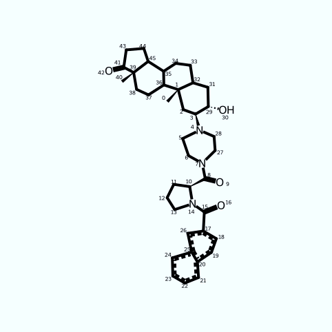 C[C@]12C[C@H](N3CCN(C(=O)[C@@H]4CCCN4C(=O)c4ccc5ccccc5c4)CC3)[C@@H](O)CC1CCC1C2CC[C@]2(C)C(=O)CCC12